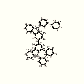 c1ccc(-c2cccc(-n3c4ccccc4c4cc(-c5cc6c7c(c5)c5ccccc5n7-c5ccccc5-c5ccccc5-6)ccc43)c2)cc1